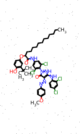 CCCCCCCCCCCCC(Oc1ccc(O)c(C(C)(C)C)c1)C(=O)Nc1cc(Cl)c(-n2[nH]c(Nc3ccc(Cl)cc3Cl)c(N=Nc3ccc(OC)cc3)c2=O)c(Cl)c1